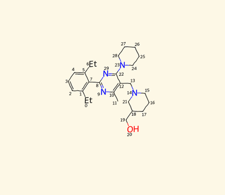 CCc1cccc(CC)c1-c1nc(C)c(CN2CCCC(CO)C2)c(N2CCCCC2)n1